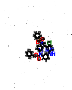 O=C(N[C@H]1CCC[C@@H](Nc2ncc(Cl)c(-c3cn(S(=O)(=O)c4ccccc4)c4ccccc34)n2)C1)OCc1ccccc1